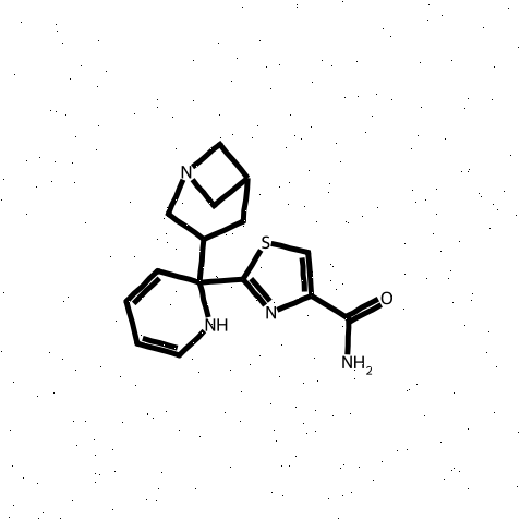 NC(=O)c1csc(C2(C3CC4CN(C4)C3)C=CC=CN2)n1